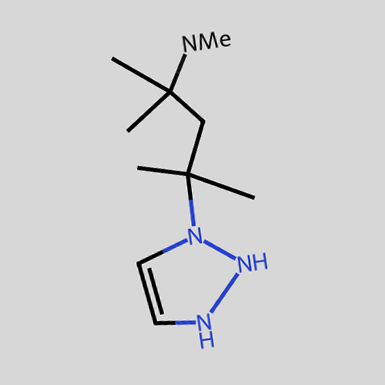 CNC(C)(C)CC(C)(C)N1C=CNN1